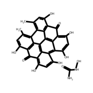 Cc1cc(O)c2c(=O)c3c(O)cc(O)c4c5c(O)cc(O)c6c(=O)c7c(O)cc(C)c8c1c2c(c34)c(c78)c65.NC(=O)NO